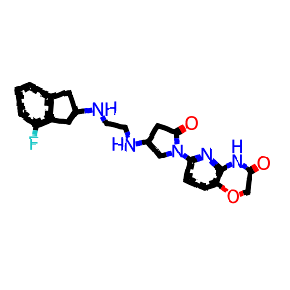 O=C1COc2ccc(N3CC(NCCNC4Cc5cccc(F)c5C4)CC3=O)nc2N1